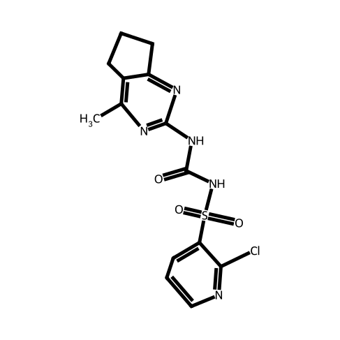 Cc1nc(NC(=O)NS(=O)(=O)c2cccnc2Cl)nc2c1CCC2